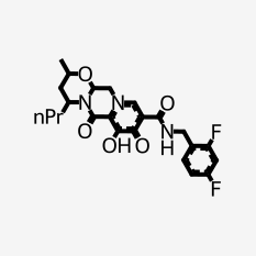 CCCC1CC(C)OC2Cn3cc(C(=O)NCc4ccc(F)cc4F)c(=O)c(O)c3C(=O)N12